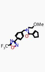 COCCN(Cc1ccc(-c2noc(C(F)(F)F)n2)cc1)C(=O)C1=CCCC1